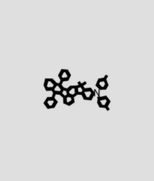 Cc1ccc(N(c2ccc(C)cc2)c2ccc3c(c2)C(C)(C)c2cc4c5c(cccc5c2-3)-c2c-4c(-c3ccccc3)c3ccccc3c2-c2ccccc2)cc1